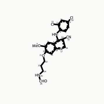 COc1cc2c(Nc3ccc(Cl)cc3Cl)c(C#N)cnc2cc1OCCCNC=O